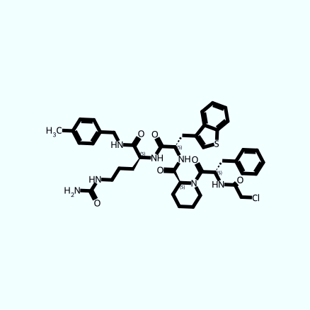 Cc1ccc(CNC(=O)[C@H](CCCNC(N)=O)NC(=O)[C@H](Cc2csc3ccccc23)NC(=O)[C@@H]2CCCCN2C(=O)[C@H](Cc2ccccc2)NC(=O)CCl)cc1